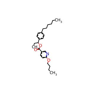 CCCCCCc1ccc(C(CC)OC(=O)c2ccc(OCCCC)nc2)cc1